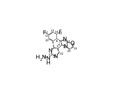 NNc1ncc(-c2c(C3C=CC(F)=CC3F)nc3occn23)cn1